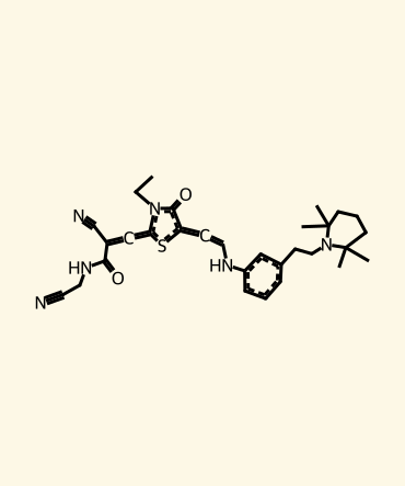 CCn1c(=C=C(C#N)C(=O)NCC#N)sc(=C=CNc2cccc(CCN3C(C)(C)CCCC3(C)C)c2)c1=O